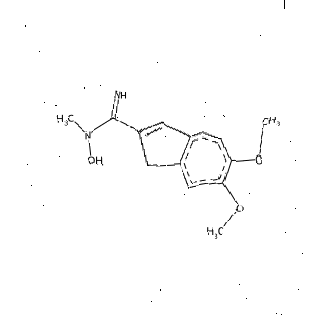 COc1cc2c(cc1OC)CC(C(=N)N(C)O)=C2